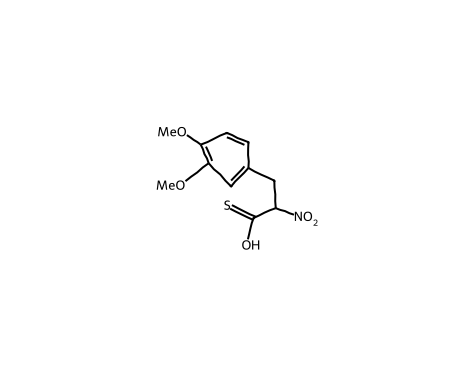 COc1ccc(CC(C(O)=S)[N+](=O)[O-])cc1OC